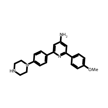 COc1ccc(-c2cc(N)cc(-c3ccc(N4CCNCC4)cc3)n2)cc1